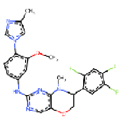 COc1cc(Nc2ncc3c(n2)N(C)C(c2cc(F)c(F)cc2F)CO3)ccc1-n1cnc(C)c1